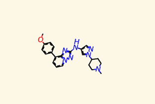 COc1ccc(-c2cccn3nc(Nc4cnn(C5CCN(C)CC5)c4)nc23)cc1